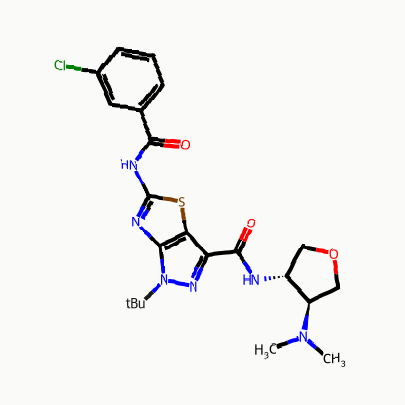 CN(C)[C@@H]1COC[C@H]1NC(=O)c1nn(C(C)(C)C)c2nc(NC(=O)c3cccc(Cl)c3)sc12